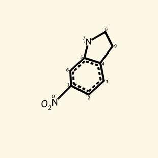 O=[N+]([O-])c1ccc2c(c1)[N]CC2